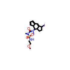 COCCNS(=O)(=O)N(C)C(=O)N(I)C1C2C=CC=C2C=C2C(I)CCC21